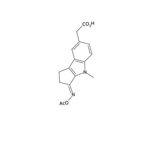 CC(=O)ON=C1CCc2c1n(C)c1ccc(CC(=O)O)cc21